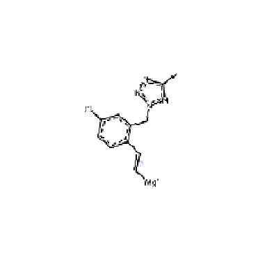 Cc1nnn(Cc2cc(Cl)ccc2/C=[CH]/[Mg+])n1